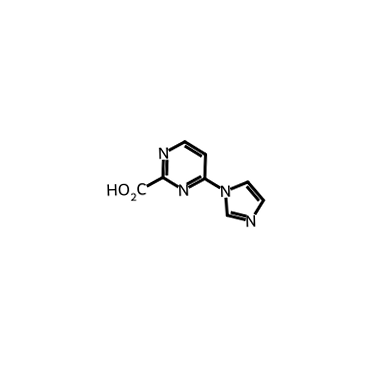 O=C(O)c1nccc(-n2ccnc2)n1